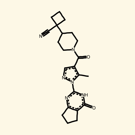 Cc1c(C(=O)N2CCC(C3(C#N)CCC3)CC2)cnn1-c1nc2c(c(=O)[nH]1)CCC2